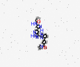 CC(C)CC(=O)Nc1cncc(-c2cnc3[nH]nc(-c4nc5c(-c6ccc(C(=O)N7CCCC7)cc6)cccc5[nH]4)c3c2)c1